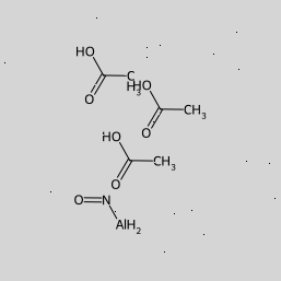 CC(=O)O.CC(=O)O.CC(=O)O.O=[N][AlH2]